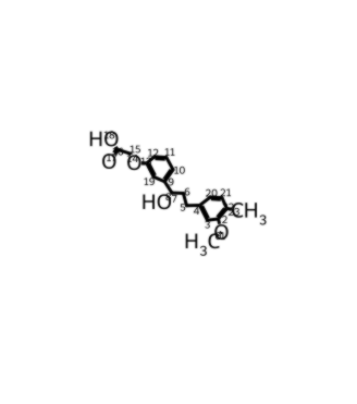 COc1cc(CC[C@@H](O)c2cccc(OCC(=O)O)c2)ccc1C